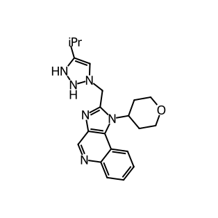 CC(C)C1=CN(Cc2nc3cnc4ccccc4c3n2C2CCOCC2)NN1